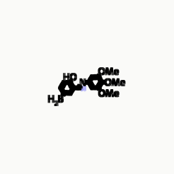 Bc1ccc(O)c(/C=N/c2cc(OC)c(OC)c(OC)c2)c1